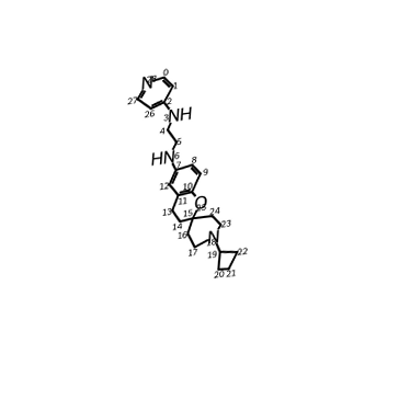 c1cc(NCCNc2ccc3c(c2)CCC2(CCN(C4CCC4)CC2)O3)ccn1